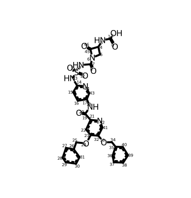 O=C(O)NC1CN(C(=O)NS(=O)(=O)Nc2ccc(NC(=O)c3cc(OCc4ccccc4)c(OCc4ccccc4)cn3)cn2)C1=O